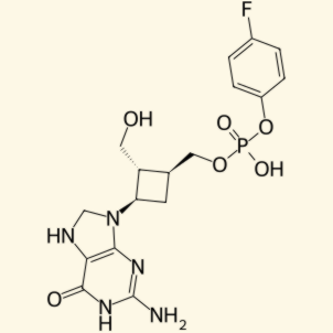 Nc1nc2c(c(=O)[nH]1)NCN2[C@@H]1C[C@H](COP(=O)(O)Oc2ccc(F)cc2)[C@H]1CO